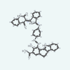 NC(=O)c1cc2ccc3c4ccccc4[nH]c3c2c(N=Nc2ccc(/N=C3\N/C(=C4/C(=O)Nc5ccccc5C4=O)c4ccccc43)cc2)c1O